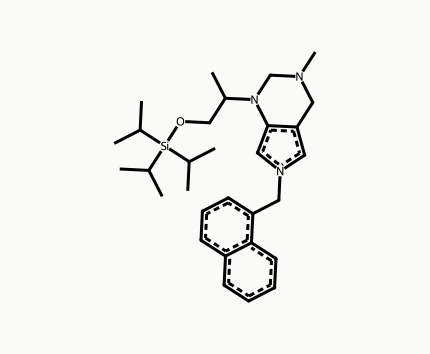 CC(CO[Si](C(C)C)(C(C)C)C(C)C)N1CN(C)Cc2cn(Cc3cccc4ccccc34)cc21